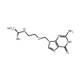 CC[C@H](C)[C@H](NCCOCn1cnc2c(=O)[nH]c(N)nc21)C(=O)O